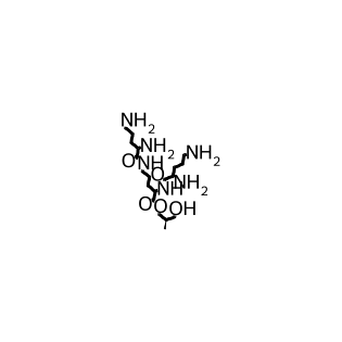 C[C@H](CO)COC(=O)C(CCCNC(=O)C(N)CCCN)NC(=O)C(N)CCCN